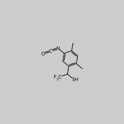 Cc1cc(C)c(C(S)C(F)(F)F)cc1N=C=O